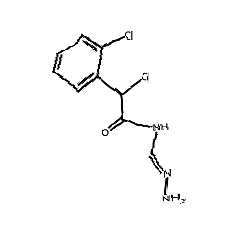 NN=CNC(=O)C(Cl)c1ccccc1Cl